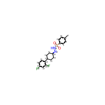 Cc1ccc(S(=O)(=O)NN=C2CCC(c3ccc(F)cc3F)CC2)cc1